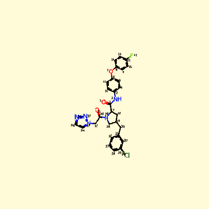 O=C(Nc1ccc(Oc2ccc(F)cc2)cc1)C1CC(Cc2cccc(Cl)c2)CN1C(=O)Cn1ccnn1